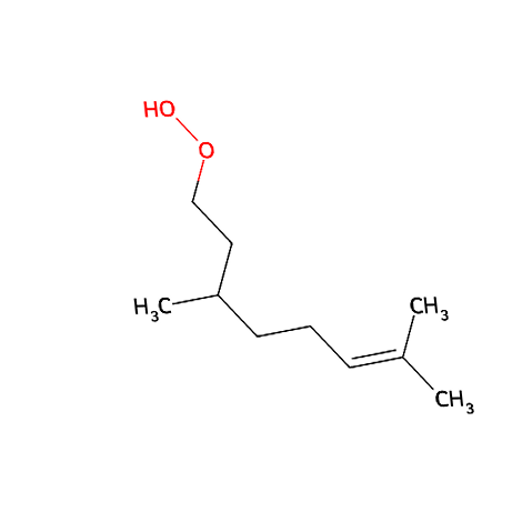 CC(C)=CCCC(C)CCOO